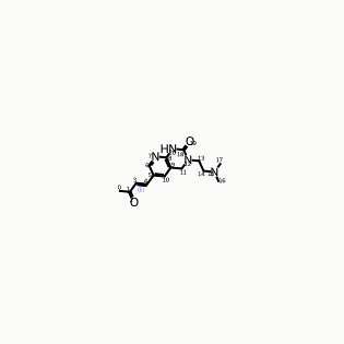 CC(=O)/C=C/c1cnc2c(c1)CN(CCN(C)C)C(=O)N2